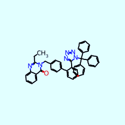 CCc1nc2ccccc2c(=O)n1Cc1ccc(-c2ccccc2-c2nnnn2C(c2ccccc2)(c2ccccc2)c2ccccc2)cc1